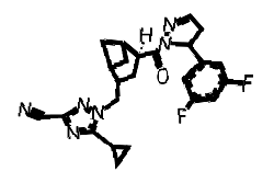 N#Cc1nc(C2CC2)n(CC2C[C@H](C(=O)N3N=CCC3c3cc(F)cc(F)c3)C3CC2C3)n1